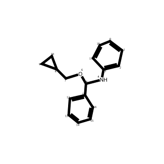 c1ccc(NC(OCC2CC2)c2ccccc2)cc1